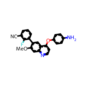 COc1cc2nccc(Oc3ccc(N)cc3)c2cc1-c1cccc(C#N)c1F